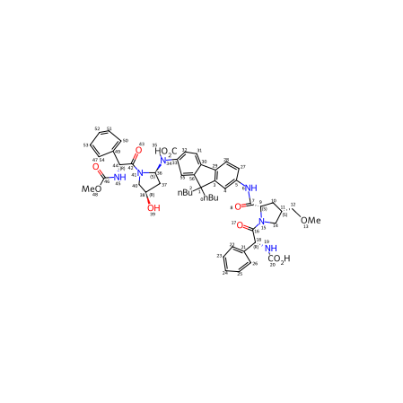 CCCCC1(CCCC)c2cc(NC(=O)[C@@H]3C[C@H](COC)CN3C(=O)[C@H](NC(=O)O)c3ccccc3)ccc2-c2ccc(N(C(=O)O)[C@H]3C[C@@H](O)CN3C(=O)[C@H](NC(=O)OC)c3ccccc3)cc21